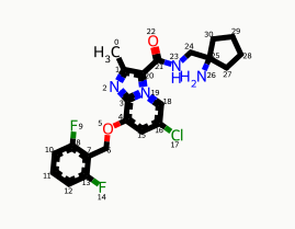 Cc1nc2c(OCc3c(F)cccc3F)cc(Cl)cn2c1C(=O)NCC1(N)CCCC1